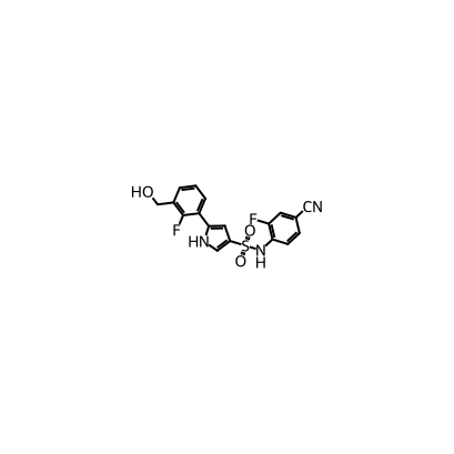 N#Cc1ccc(NS(=O)(=O)c2c[nH]c(-c3cccc(CO)c3F)c2)c(F)c1